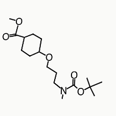 COC(=O)C1CCC(OCCCN(C)C(=O)OC(C)(C)C)CC1